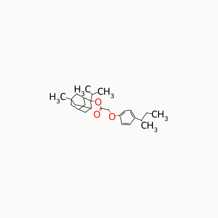 CCC(C)c1ccc(OCC(=O)OC2(C(C)C)C3CC4CC2CC(C)(C4)C3)cc1